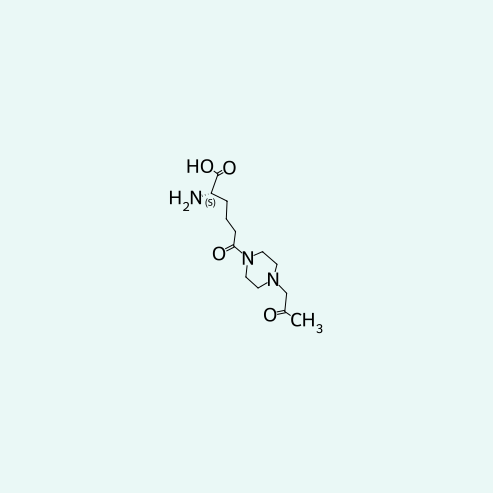 CC(=O)CN1CCN(C(=O)CCC[C@H](N)C(=O)O)CC1